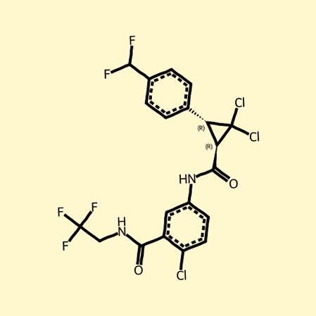 O=C(NCC(F)(F)F)c1cc(NC(=O)[C@H]2[C@H](c3ccc(C(F)F)cc3)C2(Cl)Cl)ccc1Cl